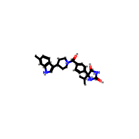 Cc1ccc2c(C3CCN(C(=O)c4ccc(C5(C(C)C)NC(=O)NC5=O)cc4)CC3)c[nH]c2c1